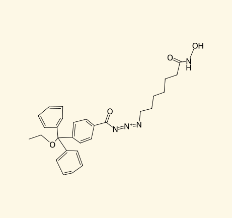 CCOC(c1ccccc1)(c1ccccc1)c1ccc(C(=O)N=[N+]=NCCCCCCC(=O)NO)cc1